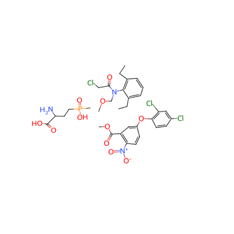 CCc1cccc(CC)c1N(COC)C(=O)CCl.COC(=O)c1cc(Oc2ccc(Cl)cc2Cl)ccc1[N+](=O)[O-].CP(=O)(O)CCC(N)C(=O)O